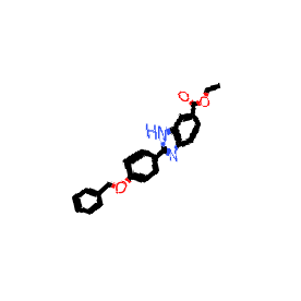 CCOC(=O)c1ccc2nc(-c3ccc(OCc4ccccc4)cc3)[nH]c2c1